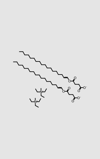 CCCCCCCCCCCCCCCCC=COC(=O)CCC(=O)[O-].CCCCCCCCCCCCCCCCC=COC(=O)CCC(=O)[O-].CC[N+](C)(CC)CC.CC[N+](C)(CC)CC